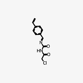 C=Cc1ccc(C=NC(=O)NC(=O)CCl)cc1